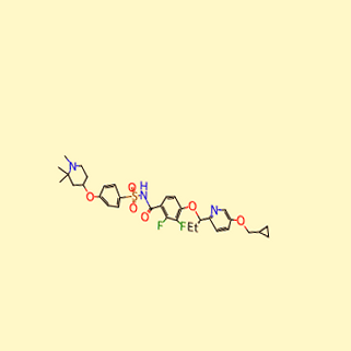 CC[C@@H](Oc1ccc(C(=O)NS(=O)(=O)c2ccc(OC3CCN(C)C(C)(C)C3)cc2)c(F)c1F)c1ccc(OCC2CC2)cn1